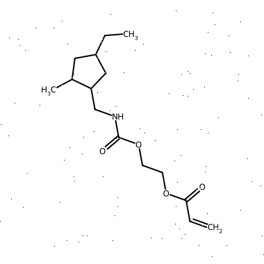 C=CC(=O)OCCOC(=O)NCC1CC(CC)CC1C